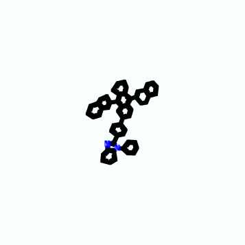 C1=C(c2c3ccccc3c(-c3ccc4ccccc4c3)c3cc(-c4ccc(-c5nc6ccccc6n5-c5ccccc5)cc4)ccc23)CCc2ccccc21